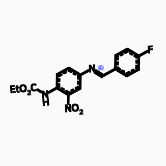 CCOC(=O)Nc1ccc(/N=C/c2ccc(F)cc2)cc1[N+](=O)[O-]